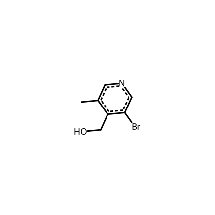 Cc1cncc(Br)c1CO